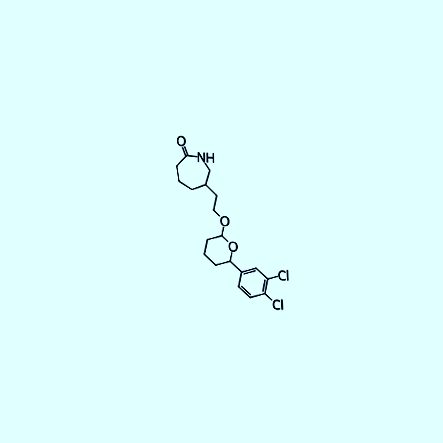 O=C1CCCC(CCOC2CCCC(c3ccc(Cl)c(Cl)c3)O2)CN1